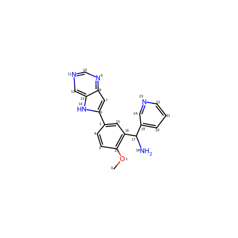 COc1ccc(-c2cc3ncncc3[nH]2)cc1C(N)c1cccnc1